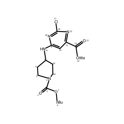 CCCCOC(=O)N1CCC(Nc2cc(C(=O)OC)nc(Cl)n2)CC1